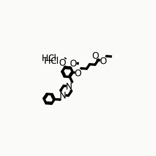 CCOC(=O)CCCCOc1c(CN2CCN(Cc3ccccc3)CC2)ccc(OC)c1OC.Cl.Cl